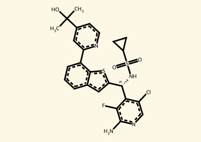 CC(C)(O)c1ccnc(-c2cccc3cc([C@H](NS(=O)(=O)C4CC4)c4c(Cl)cnc(N)c4F)sc23)c1